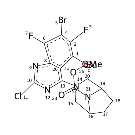 COc1c(F)c(Br)c(F)c2nc(Cl)nc(N3CC4CCC(C3)N4C(=O)OC(C)(C)C)c12